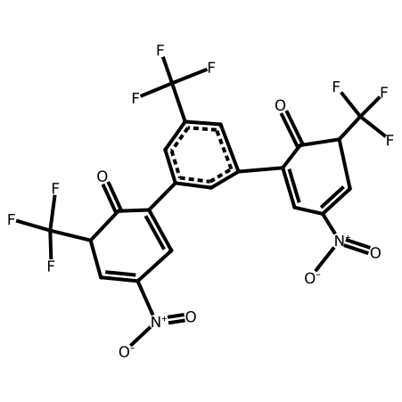 O=C1C(c2cc(C3=CC([N+](=O)[O-])=CC(C(F)(F)F)C3=O)cc(C(F)(F)F)c2)=CC([N+](=O)[O-])=CC1C(F)(F)F